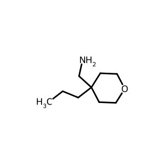 CCCC1(CN)CCOCC1